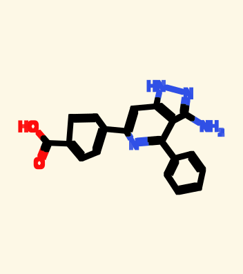 Nc1n[nH]c2cc(-c3ccc(C(=O)O)cc3)nc(-c3ccccc3)c12